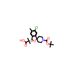 Cc1cc2c(cc1Cl)C1(CCN(C(=O)OC(C)(C)C)CC1)O[C@@H]2C(C)(C)C(=O)O